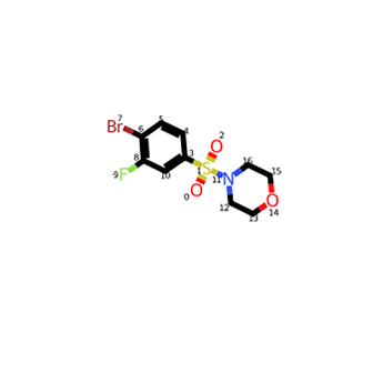 O=S(=O)(c1ccc(Br)c(F)c1)N1CCOCC1